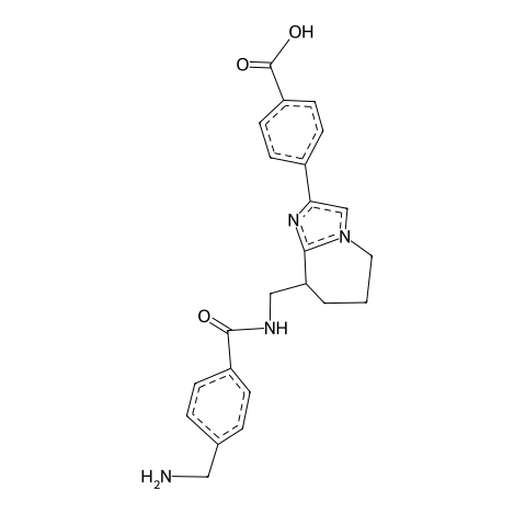 NCc1ccc(C(=O)NCC2CCCn3cc(-c4ccc(C(=O)O)cc4)nc32)cc1